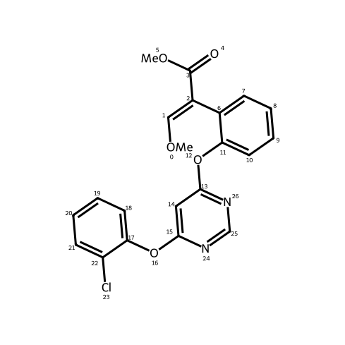 CO/C=C(/C(=O)OC)c1ccccc1Oc1cc(Oc2ccccc2Cl)ncn1